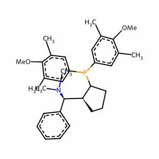 COc1c(C)cc(P(c2cc(C)c(OC)c(C)c2)C2CCC[C@H]2[C@@H](c2ccccc2)N(C)C)cc1C